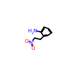 Nc1ccccc1CC[N+](=O)[O-]